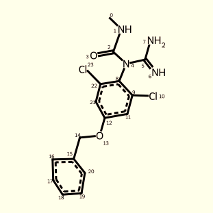 CNC(=O)N(C(=N)N)c1c(Cl)cc(OCc2ccccc2)cc1Cl